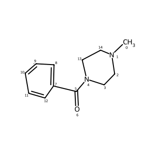 CN1CCN(C(=O)c2c[c]ccc2)CC1